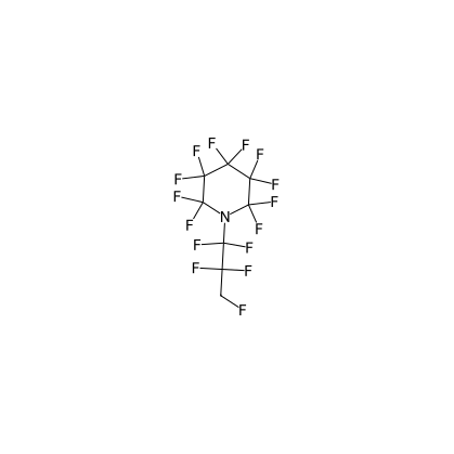 FCC(F)(F)C(F)(F)N1C(F)(F)C(F)(F)C(F)(F)C(F)(F)C1(F)F